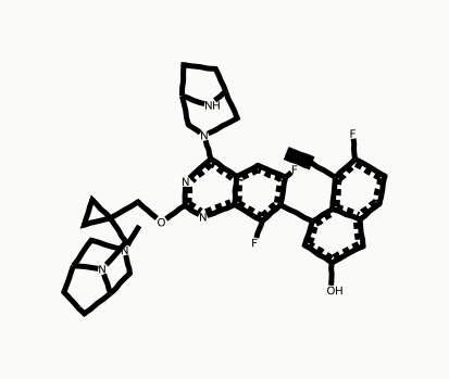 C#Cc1c(F)ccc2cc(O)cc(-c3c(F)cc4c(N5CC6CCC(C5)N6)nc(OCC5(CN6C7CCC6CN(C)C7)CC5)nc4c3F)c12